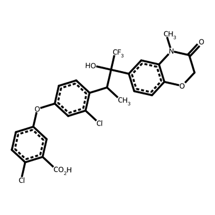 CC(c1ccc(Oc2ccc(Cl)c(C(=O)O)c2)cc1Cl)C(O)(c1ccc2c(c1)N(C)C(=O)CO2)C(F)(F)F